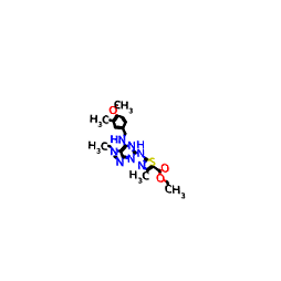 CCOC(=O)c1sc(Nc2nc(NCc3ccc(OC)c(C)c3)c3c(ncn3CC)n2)nc1C